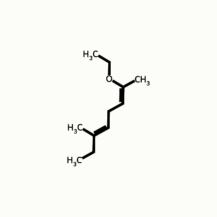 CCO/C(C)=C\C/C=C(\C)CC